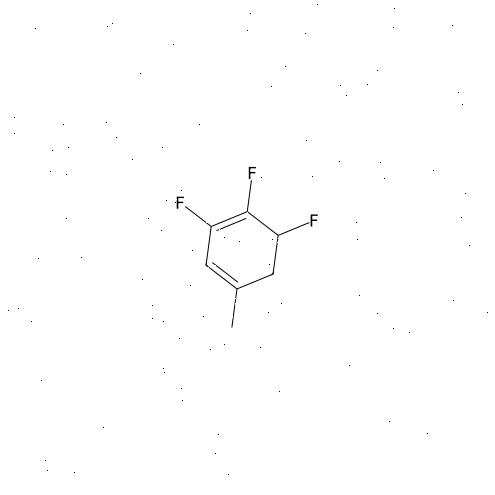 CC1=CC(F)=C(F)C(F)C1